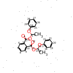 CC(OC(=O)c1ccccc1C(=O)OC(C)Oc1ccccc1)Oc1ccccc1